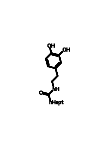 CCCCCCCC(=O)NCCc1ccc(O)c(O)c1